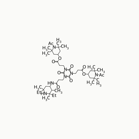 CCC1(C)CC(NC(=O)CCn2c(=O)n(CCC(=O)OC3CC(C)(C)N(C(C)=O)C(C)(C)C3)c(=O)n(CCC(=O)OC3CC(C)(C)N(C(C)=O)C(C)(C)C3)c2=O)C(C)C(C)(CC)N1